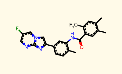 Cc1cc(C(=O)Nc2cc(-c3cn4cc(F)cnc4n3)ccc2C)c(C(F)(F)F)cc1C